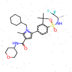 Cc1c(C(=O)NC2CCOCC2)cc(-c2ccc(S(=O)(=O)N[C@@H](C)C(F)(F)F)c(C(C)(C)C)c2)n1CC1CCCCC1